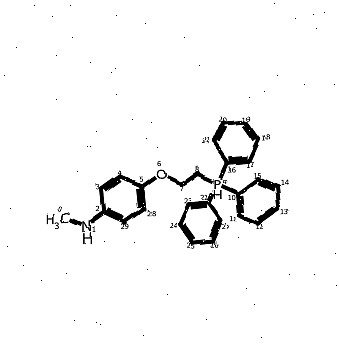 CNc1ccc(OCC[PH](c2ccccc2)(c2ccccc2)c2ccccc2)cc1